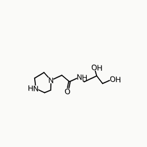 O=C(CN1CCNCC1)NCC(O)CO